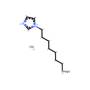 Br.CCCCCCCCCCCCCCn1ccnc1